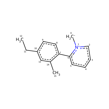 [CH2-][n+]1ccccc1-c1ccc(CC)cc1C